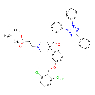 CC(C)(C)OC(=O)CCN1CCC2(CC1)COc1ccc(OCc3c(Cl)cccc3Cl)cc12.[Cl-].c1ccc(-c2nn(-c3ccccc3)[n+](-c3ccccc3)n2)cc1